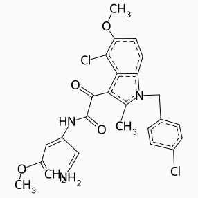 C=C(/C=C(\C=C/N)NC(=O)C(=O)c1c(C)n(Cc2ccc(Cl)cc2)c2ccc(OC)c(Cl)c12)OC